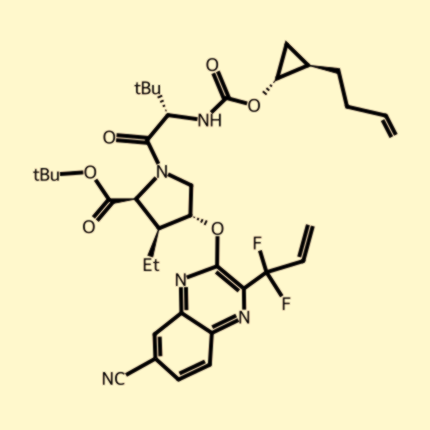 C=CCC[C@@H]1C[C@H]1OC(=O)N[C@H](C(=O)N1C[C@H](Oc2nc3cc(C#N)ccc3nc2C(F)(F)C=C)[C@@H](CC)[C@H]1C(=O)OC(C)(C)C)C(C)(C)C